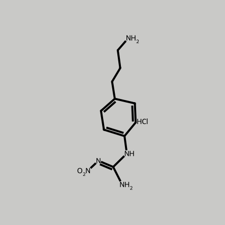 Cl.NCCCc1ccc(NC(N)=N[N+](=O)[O-])cc1